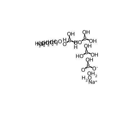 O.O.O.O.O.O.O.OB(O)O.OB(O)O.OB(O)O.[Na+].[Na+].[O-]B([O-])O